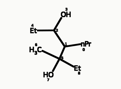 CCCC(C(O)CC)C(C)(O)CC